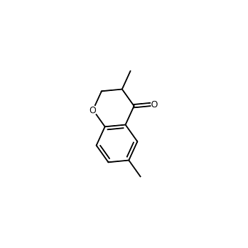 Cc1ccc2c(c1)C(=O)C(C)CO2